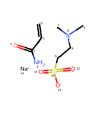 C=CC(N)=O.CN(C)CCS(=O)(=O)[O-].[Na+]